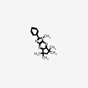 Cn1c(-c2ccccc2)nc2nc3c(nc21)C(C)(C)CC3(C)C